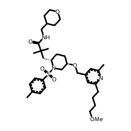 COCCCCc1cc(CO[C@@H]2CC[C@@H](CC(C)(C)C(=O)NCC3CCOCC3)N(S(=O)(=O)c3ccc(C)cc3)C2)cc(C)n1